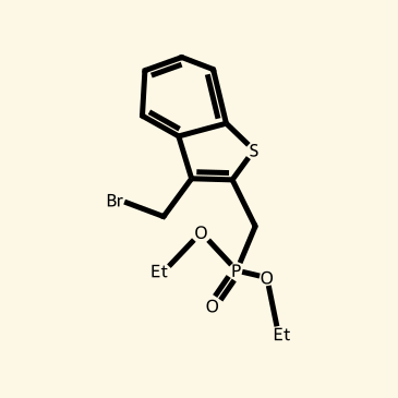 CCOP(=O)(Cc1sc2ccccc2c1CBr)OCC